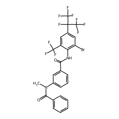 CN(C(=O)c1ccccc1)c1cccc(C(=O)Nc2c(Br)cc(C(F)(C(F)(F)F)C(F)(F)F)cc2C(F)(F)F)c1